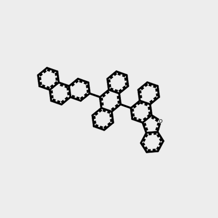 c1ccc2c(c1)ccc1cc(-c3c4ccccc4c(-c4cc5c6ccccc6oc5c5ccccc45)c4ccccc34)ccc12